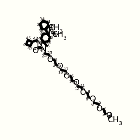 COCCOCCOCCOCCOCCOCCOCCOCCN1CC2(CCC(c3ccccc3)(N(C)C)CC2)N(CC2CCC2)C1=O